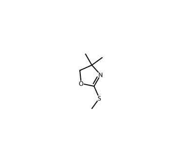 CSC1=NC(C)(C)CO1